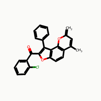 C=C1C=C(C)c2ccc3oc(C(=O)c4ccccc4Cl)c(-c4ccccc4)c3c2O1